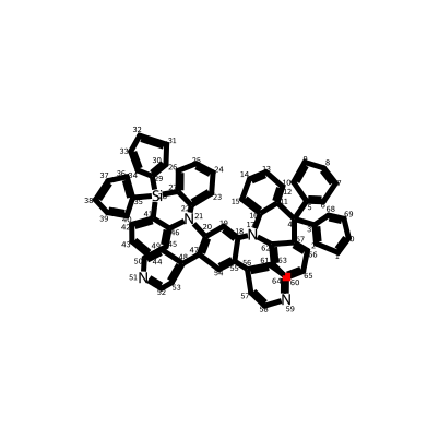 c1ccc(C2(c3ccccc3)c3ccccc3N(c3cc(N4c5ccccc5[Si](c5ccccc5)(c5ccccc5)c5ccccc54)c(-c4ccncc4)cc3-c3ccncc3)c3ccccc32)cc1